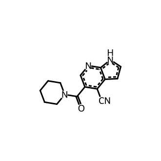 N#Cc1c(C(=O)N2CCCCC2)cnc2[nH]ccc12